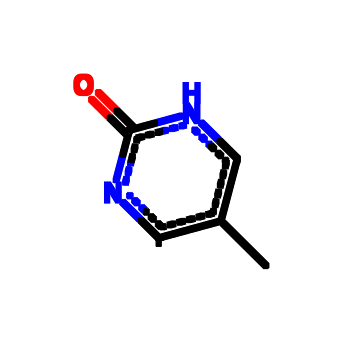 Cc1[c]nc(=O)[nH]c1